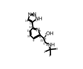 CC(C)(C)NC[C@H](O)c1cccc(-c2cnn[nH]2)n1